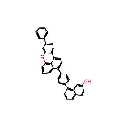 Oc1ccc2cccc(-c3ccc(-c4ccc5c6c(cccc46)Oc4cc(-c6ccccc6)ccc4-5)cc3)c2c1